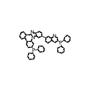 c1ccc(P(c2ccccc2)c2cnc3cc(-c4ccc5nc6c7ccccc7c7ccc(P(c8ccccc8)c8ccccc8)cc7n6c5c4)ccc3c2)cc1